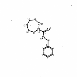 O=C(OCc1ccccc1)N1CCNCCO1